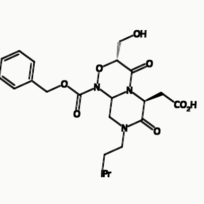 CC(C)CCN1CC2N(C(=O)OCc3ccccc3)O[C@H](CO)C(=O)N2[C@@H](CC(=O)O)C1=O